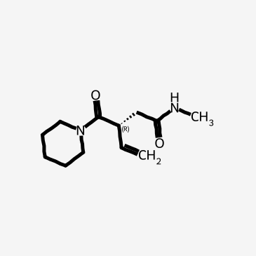 C=C[C@@H](CC(=O)NC)C(=O)N1CCCCC1